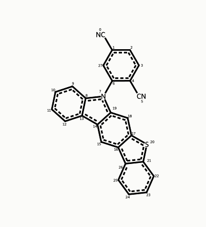 N#Cc1ccc(C#N)c(-n2c3ccccc3c3cc4c(cc32)sc2ccccc24)c1